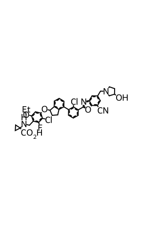 CCOc1cc(OC2CCc3c(-c4cccc(-c5nc6cc(CN7CCC(O)C7)cc(C#N)c6o5)c4Cl)cccc32)c(Cl)c(F)c1CNC1(C(=O)O)CC1